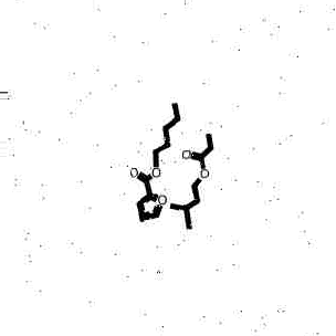 CCC(=O)OCCC(C)C.CCCCCOC(=O)c1ccco1